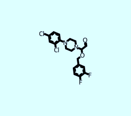 O=CC(OCc1ccc(F)c(F)c1)N1CCN(c2ccc(Cl)cc2Cl)CC1